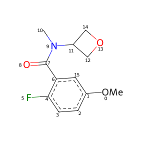 COc1ccc(F)c(C(=O)N(C)C2COC2)c1